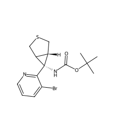 CC(C)(C)OC(=O)N[C@]1(c2ncccc2Br)C2CSC[C@@H]21